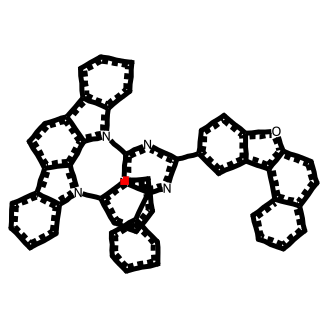 c1ccc(-c2nc(-c3ccc4oc5ccc6ccccc6c5c4c3)nc(-n3c4ccccc4c4ccc5c6ccccc6n(-c6ccccc6)c5c43)n2)cc1